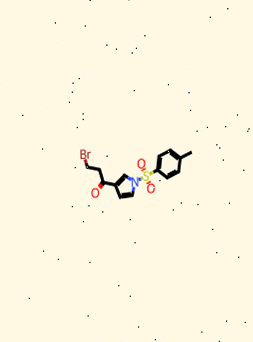 Cc1ccc(S(=O)(=O)n2ccc(C(=O)CCBr)c2)cc1